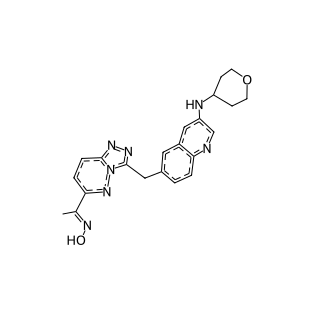 CC(=NO)c1ccc2nnc(Cc3ccc4ncc(NC5CCOCC5)cc4c3)n2n1